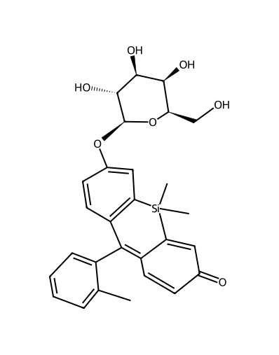 Cc1ccccc1C1=C2C=CC(=O)C=C2[Si](C)(C)c2cc(O[C@@H]3O[C@H](CO)[C@H](O)[C@H](O)[C@H]3O)ccc21